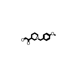 COc1ccc(CN2CCCC(C(=O)C=O)C2)cc1